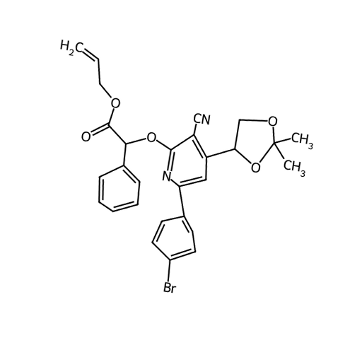 C=CCOC(=O)C(Oc1nc(-c2ccc(Br)cc2)cc(C2COC(C)(C)O2)c1C#N)c1ccccc1